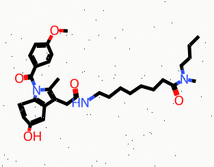 CCCCN(C)C(=O)CCCCCCCNC(=O)Cc1c(C)n(C(=O)c2ccc(OC)cc2)c2ccc(O)cc12